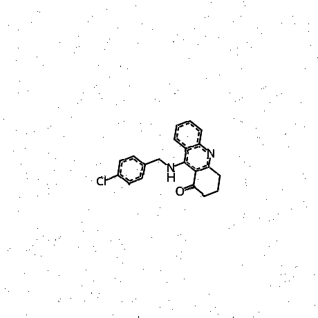 O=C1CCCc2nc3ccccc3c(NCc3ccc(Cl)cc3)c21